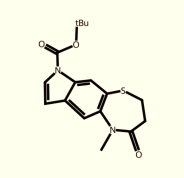 CN1C(=O)CCSc2cc3c(ccn3C(=O)OC(C)(C)C)cc21